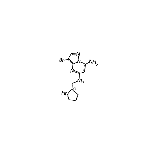 Nc1cc(NC[C@@H]2CCCN2)nc2c(Br)cnn12